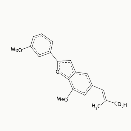 COc1cccc(-c2cc3cc(C=C(C)C(=O)O)cc(OC)c3o2)c1